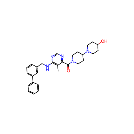 Cc1c(NCc2cccc(-c3ccccc3)c2)ncnc1C(=O)N1CCC(N2CCC(O)CC2)CC1